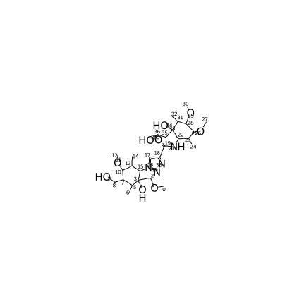 COCC1(O)C(C)C(CO)C(OC)C(C)C1n1cc(C(=O)NC2C(C)C(OC)C(OC)C(C)C2(O)CCO)nn1